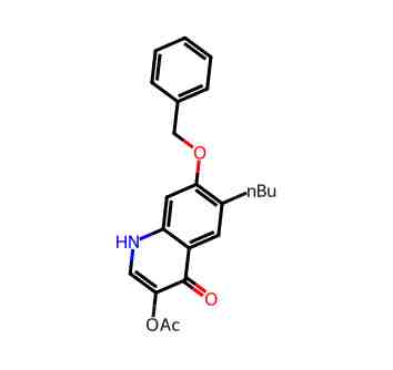 CCCCc1cc2c(=O)c(OC(C)=O)c[nH]c2cc1OCc1ccccc1